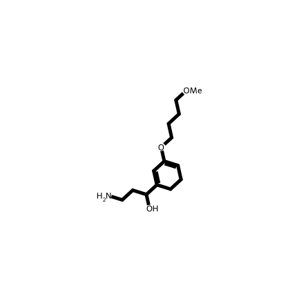 COCCCCOC1=CCCC(C(O)CCN)=C1